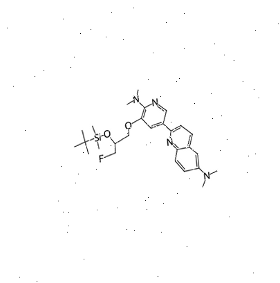 CN(C)c1ccc2nc(-c3cnc(N(C)C)c(OCC(CF)O[Si](C)(C)C(C)(C)C)c3)ccc2c1